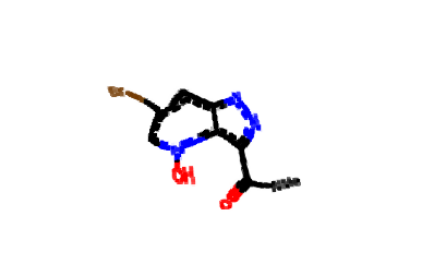 CNC(=O)c1nnc2cc(Br)cn(O)c1-2